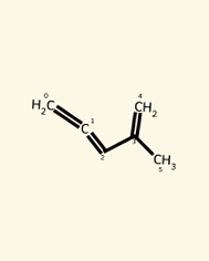 C=C=CC(=C)C